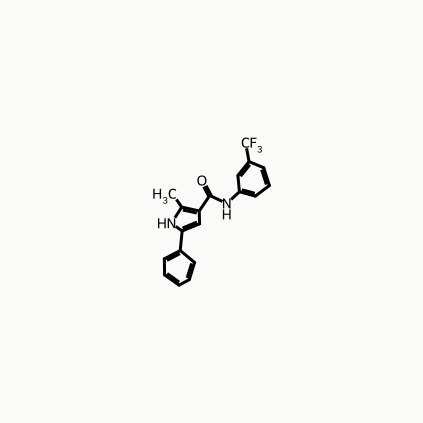 Cc1[nH]c(-c2ccccc2)cc1C(=O)Nc1cccc(C(F)(F)F)c1